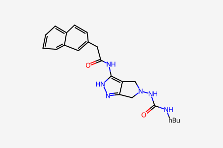 CCCCNC(=O)NN1Cc2n[nH]c(NC(=O)Cc3ccc4ccccc4c3)c2C1